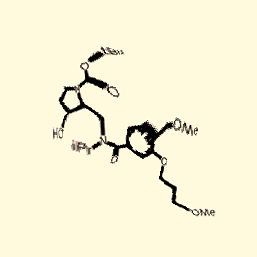 COCCCOc1cc(C(=O)N(CC2[C@@H](O)CCN2C(=O)OC(C)(C)C)C(C)C)ccc1OC